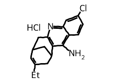 CCC1=CC2Cc3nc4cc(Cl)ccc4c(N)c3C(C1)C2.Cl